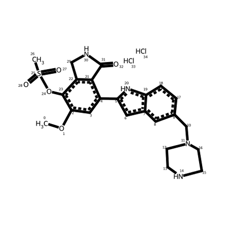 COc1cc(-c2cc3cc(CN4CCNCC4)ccc3[nH]2)c2c(c1OS(C)(=O)=O)CNC2=O.Cl.Cl